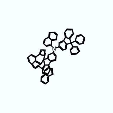 c1ccc(C2(c3ccccc3)c3ccccc3-c3cc(N(c4ccc5c(c4)C4(c6ccccc6-5)c5ccccc5-c5cccc6ccc(-c7cccc8ccccc78)c4c56)c4cccc5ccccc45)ccc32)cc1